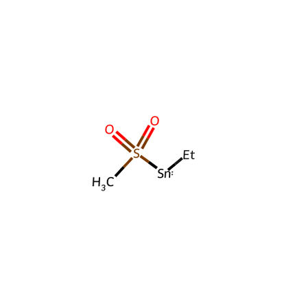 C[CH2][Sn][S](C)(=O)=O